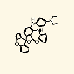 CCN(CC)c1ccc(Nc2ccc3c(c2Nc2ccccc2)C(=O)OC32c3ccccc3Oc3ccccc32)cc1